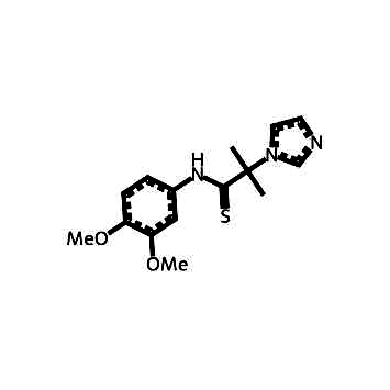 COc1ccc(NC(=S)C(C)(C)n2ccnc2)cc1OC